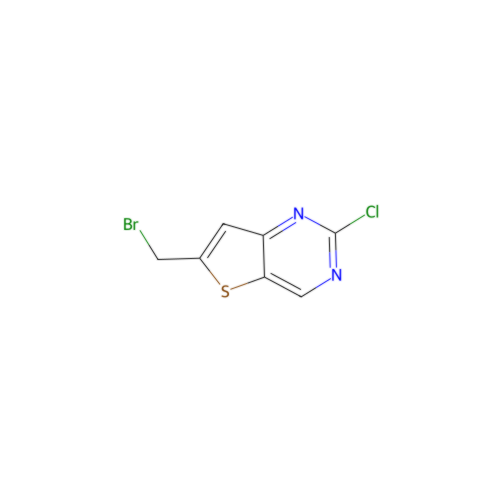 Clc1ncc2sc(CBr)cc2n1